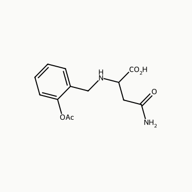 CC(=O)Oc1ccccc1CNC(CC(N)=O)C(=O)O